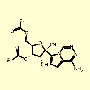 CCC(=O)OC[C@H]1O[C@@](C#N)(c2ccc3c(N)nncn23)[C@H](O)[C@@H]1OC(=O)C(C)C